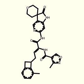 Cc1cccc2c1C(CC=C(NC(=O)c1conc1C)C(=O)Nc1cc3c(cn1)C1(CCOCC1)C(=O)N3)C2